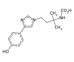 CC(C)(CCn1cnc(-c2ccc(O)cc2)c1)NC(=O)O